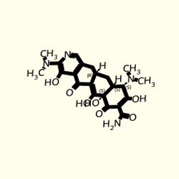 CN(C)c1ncc2c(c1O)C(=O)C1=C(O)[C@]3(O)C(=O)C(C(N)=O)=C(O)[C@@H](N(C)C)[C@@H]3C[C@@H]1C2